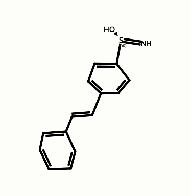 N=[S@@](O)c1ccc(C=Cc2ccccc2)cc1